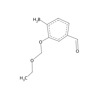 Bc1ccc(C=O)cc1OCOCC